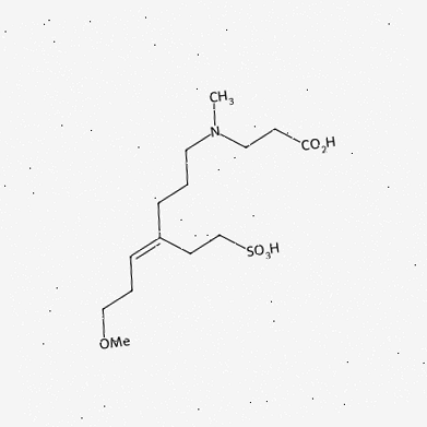 COCC/C=C(/CCCN(C)CCC(=O)O)CCS(=O)(=O)O